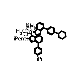 CCCC(C)C1=Cc2c(-c3ccc(C(C)C)cc3)cccc2[CH]1[Zr]([Cl])([Cl])([CH]1C(C)=Cc2c(-c3ccc(C4CCCCC4)cc3)cccc21)[SiH](C)C